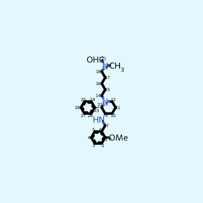 COc1ccccc1CN[C@H]1CCCN(CCCCCN(C)C=O)[C@H]1c1ccccc1